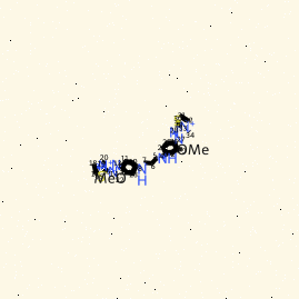 COc1cc(NCCCNc2ccc(/N=N/c3scc[n+]3C)c(OC)c2)ccc1/N=N/c1scc[n+]1C